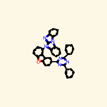 c1ccc(-c2nc(-c3ccccc3)nc(-c3ccc4oc5cccc(-n6c7ccccc7n7c8ccccc8nc67)c5c4c3)n2)cc1